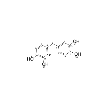 Oc1ccc(Cc2ccc(O)c(O)c2)cc1O